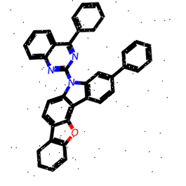 C1=CCCC(c2nc(-n3c4cc(-c5ccccc5)ccc4c4c5oc6c(c5ccc43)CCC=C6)nc3ccccc23)=C1